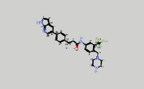 C[C@@H](CC(=O)Nc1ccc(CN2CCNCC2)c(C(F)(F)F)c1)c1ccc(-c2cnc3[nH]ccc3c2)cc1